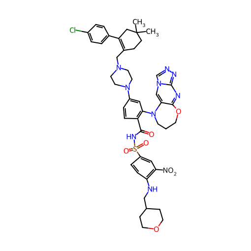 CC1(C)CCC(CN2CCN(c3ccc(C(=O)NS(=O)(=O)c4ccc(NCC5CCOCC5)c([N+](=O)[O-])c4)c(N4CCCOc5nc6nncn6cc54)c3)CC2)=C(c2ccc(Cl)cc2)C1